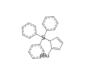 CCCCC1=CC=C[C]1[Si](c1ccccc1)(c1ccccc1)c1ccccc1